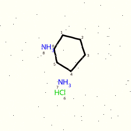 C1CCCCC1.Cl.N.N